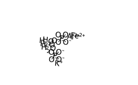 O.O.O.O.O=P([O-])([O-])[O-].O=P([O-])([O-])[O-].[Al+3].[Fe+2].[K+]